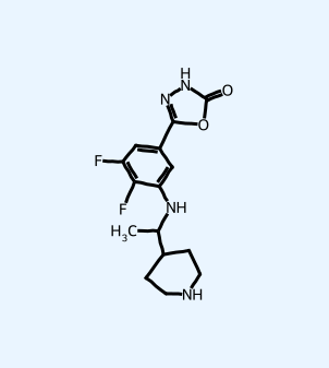 CC(Nc1cc(-c2n[nH]c(=O)o2)cc(F)c1F)C1CCNCC1